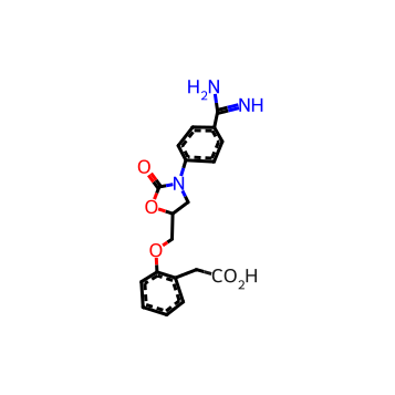 N=C(N)c1ccc(N2CC(COc3ccccc3CC(=O)O)OC2=O)cc1